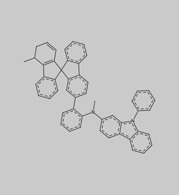 CC1CC=CC2=C1c1ccccc1C21c2ccccc2-c2ccc(-c3ccccc3N(C)c3ccc4c5ccccc5n(-c5ccccc5)c4c3)cc21